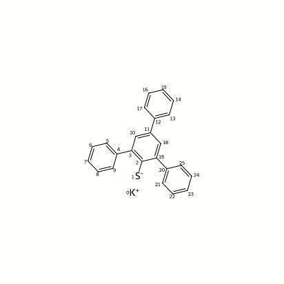 [K+].[S-]c1c(-c2ccccc2)cc(-c2ccccc2)cc1-c1ccccc1